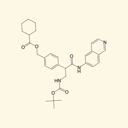 CC(C)(C)OC(=O)NCC(C(=O)Nc1ccc2cnccc2c1)c1ccc(COC(=O)C2CCCCC2)cc1